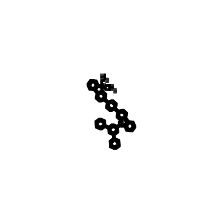 CC1(C)c2ccccc2-c2ccc(-c3ccc(-c4ccc5c6ccccc6n(-c6cc(-c7ccccc7)cc(-c7ccccc7)c6)c5c4)cc3)cc21